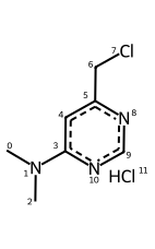 CN(C)c1cc(CCl)ncn1.Cl